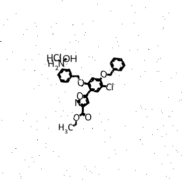 CCOC(=O)c1cc(-c2cc(Cl)c(OCc3ccccc3)cc2OCc2ccccc2)on1.Cl.NO